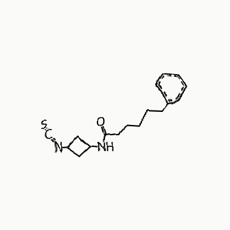 O=C(CCCCCc1ccccc1)NC1CC(N=C=S)C1